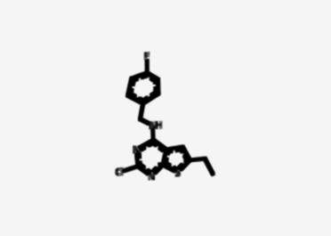 CCc1cc2c(NCc3ccc(F)cc3)nc(Cl)nc2s1